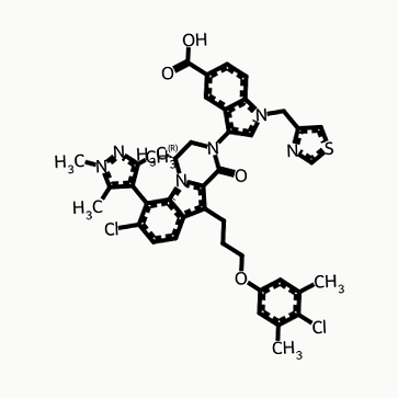 Cc1cc(OCCCc2c3n(c4c(-c5c(C)nn(C)c5C)c(Cl)ccc24)[C@H](C)CN(c2cn(Cc4cscn4)c4ccc(C(=O)O)cc24)C3=O)cc(C)c1Cl